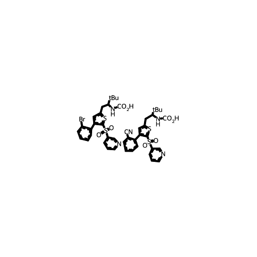 CC(C)(C)C(Cc1cc(-c2ccccc2Br)c(S(=O)(=O)c2cccnc2)s1)NC(=O)O.CC(C)(C)C(Cc1cc(-c2ccccc2C#N)c(S(=O)(=O)c2cccnc2)s1)NC(=O)O